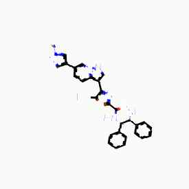 Cc1sc(C(=O)N[C@@H](c2ccccc2)[C@@H](N)c2ccccc2)nc1-c1cnn2cc(-c3cnn(C)c3)ccc12